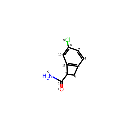 NC(=O)C1Cc2ccc(Cl)cc21